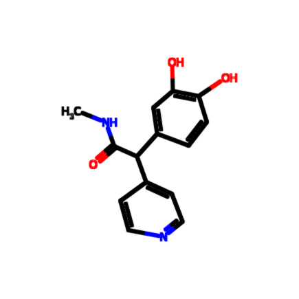 CNC(=O)C(c1ccncc1)c1ccc(O)c(O)c1